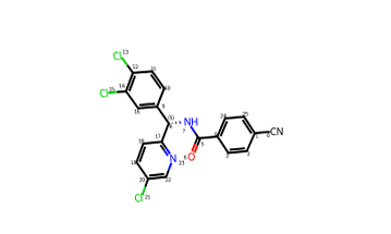 N#Cc1ccc(C(=O)N[C@@H](c2ccc(Cl)c(Cl)c2)c2ccc(Cl)cn2)cc1